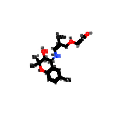 CCC1(CC)Oc2ccc(C#N)cc2[C@@H](NC=C(COC=C=O)OC)[C@@H]1O